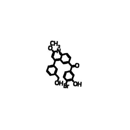 COc1cc(-c2cccc(CO)c2)c2cc(C(=O)c3ccc(Br)c(O)c3)ccc2n1